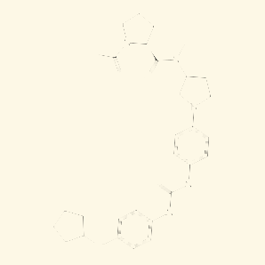 CN(C(=O)[C@@H]1CCCN1C(=O)O)C1CCN(c2ccc(NC(=O)Nc3ccc(OC4CCCC4)cc3)cc2)C1